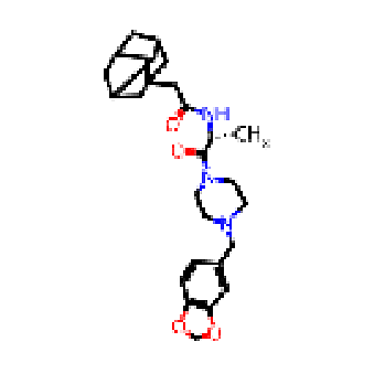 C[C@@H](NC(=O)CC12CC3CC(CC(C3)C1)C2)C(=O)N1CCN(Cc2ccc3c(c2)OCO3)CC1